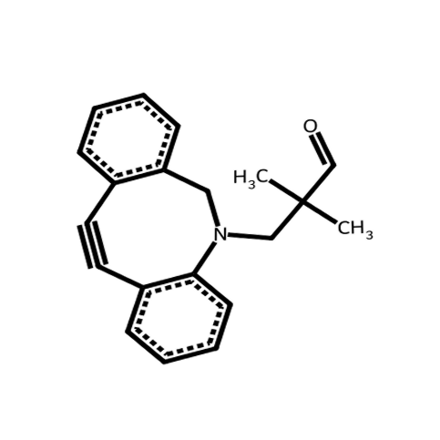 CC(C)(C=O)CN1Cc2ccccc2C#Cc2ccccc21